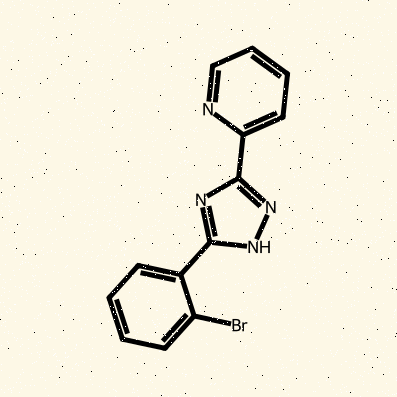 Brc1ccccc1-c1nc(-c2ccccn2)n[nH]1